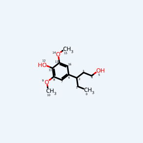 CCC(CCO)c1cc(OC)c(O)c(OC)c1